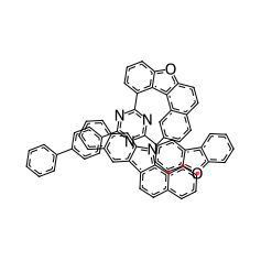 c1ccc(-c2ccc(-c3nc(-c4ccc5oc6ccccc6c5c4)nc(-c4cccc5oc6ccc7ccc(-n8c9cc%10ccccc%10cc9c9ccc%10ccccc%10c98)cc7c6c45)n3)cc2)cc1